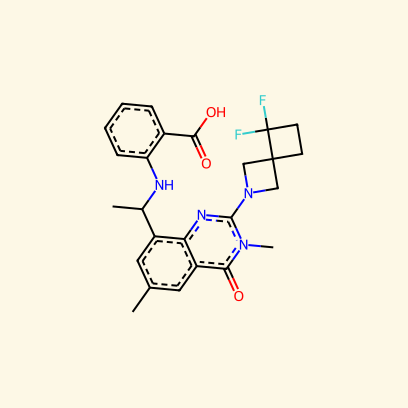 Cc1cc(C(C)Nc2ccccc2C(=O)O)c2nc(N3CC4(CCC4(F)F)C3)n(C)c(=O)c2c1